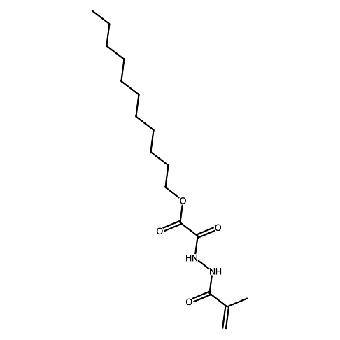 C=C(C)C(=O)NNC(=O)C(=O)OCCCCCCCCCCC